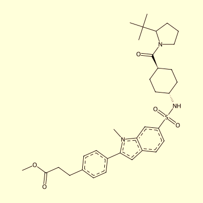 COC(=O)CCc1ccc(-c2cc3ccc(S(=O)(=O)N[C@H]4CC[C@H](C(=O)N5CCCC5C(C)(C)C)CC4)cc3n2C)cc1